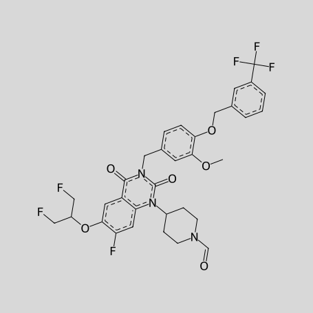 COc1cc(Cn2c(=O)c3cc(OC(CF)CF)c(F)cc3n(C3CCN(C=O)CC3)c2=O)ccc1OCc1cccc(C(F)(F)F)c1